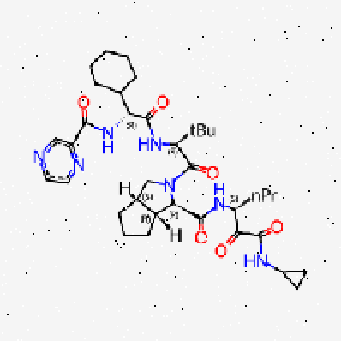 CCC[C@H](NC(=O)[C@H]1[C@@H]2CCC[C@@H]2CN1C(=O)[C@@H](NC(=O)[C@H](NC(=O)c1cnccn1)C1CCCCC1)C(C)(C)C)C(=O)C(=O)NC1CC1